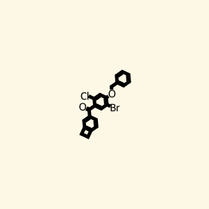 O=C(c1ccc2c(c1)CC2)c1cc(Br)c(OCc2ccccc2)cc1Cl